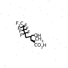 CC(=CC(CO)CC(F)(F)C(F)(F)C(F)(F)C(F)(F)F)C(=O)O